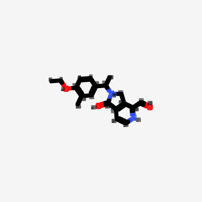 CCOc1ccc(C(C)N2Cc3c(ccnc3C=O)C2=O)cc1C